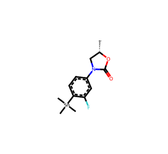 [CH2][C@H]1CN(c2cc[c]([Sn]([CH3])([CH3])[CH3])c(F)c2)C(=O)O1